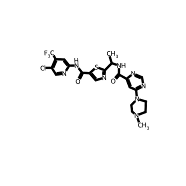 CC(NC(=O)c1cc(N2CCN(C)CC2)ncn1)c1ncc(C(=O)Nc2cc(C(F)(F)F)c(Cl)cn2)s1